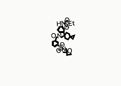 CCS(=O)(=O)Nc1ccc2c(c1)C1(CCC3(CC3)CC1)CN2C(=O)c1cccc(S(=O)(=O)N2CC3(CCO3)C2)c1